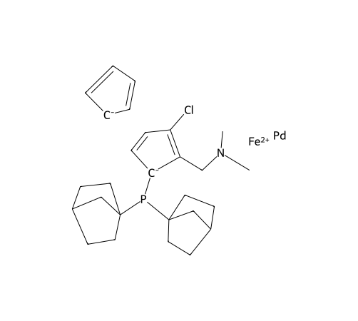 CN(C)Cc1c(Cl)cc[c-]1P(C12CCC(CC1)C2)C12CCC(CC1)C2.[Fe+2].[Pd].c1cc[cH-]c1